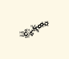 CO[C@H]1O[C@H](Cn2cc(CNC(=O)/C(C#N)=C(\C)c3ccc4cc(N5CCCCC5)ccc4c3)nn2)[C@@H](O)[C@H](O)[C@H]1O